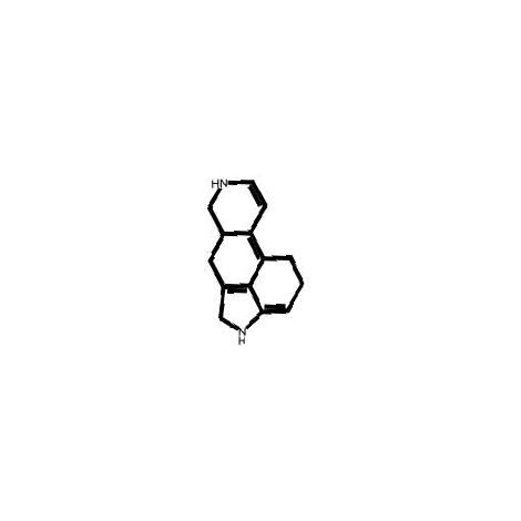 C1=CC2=C3CCC=C4NCC(=C43)CC2CN1